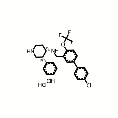 Cl.Cl.FC(F)(F)Oc1ccc(-c2ccc(Cl)cc2)cc1CN[C@H]1CCNC[C@H]1c1ccccc1